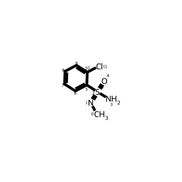 CN=S(N)(=O)c1ccccc1Cl